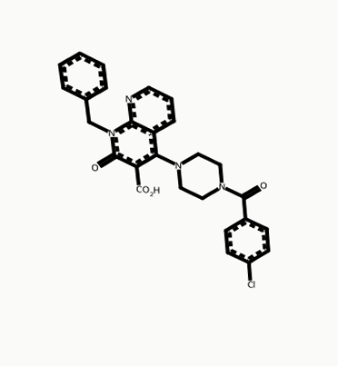 O=C(O)c1c(N2CCN(C(=O)c3ccc(Cl)cc3)CC2)c2cccnc2n(Cc2ccccc2)c1=O